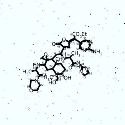 CCOC(=O)/C(=C1/C=C(C(CC2C3(CO3)C(NC(C)C(=O)N3CCOCC3)CC3[C@]2(C)CC[C@@H](O)[C@@]3(C)CO)NC(C)C(=O)NC2=NCC=N2)C(=O)O1)c1cnc(N)nc1